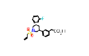 C=CCS(=O)(=O)N1CCCC(c2cccc(CC(=O)O)c2)C1.Fc1ccccc1